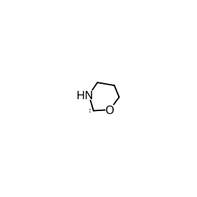 [C]1NCCCO1